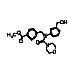 COC(=O)c1ccc(CN(C(=O)N2CCOCC2)c2cccc(CO)c2)cc1